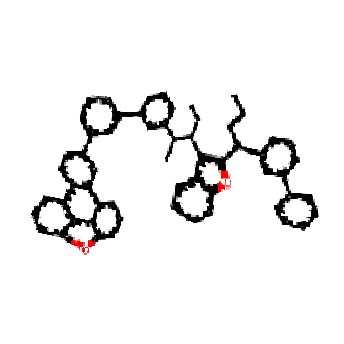 CCCC(c1cccc(-c2ccccc2)c1)c1oc2ccccc2c1C(CC)C(C)c1cccc(-c2cccc(-c3ccc4c(c3)c3cccc5oc6cccc4c6c53)c2)c1